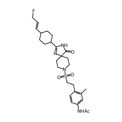 CC(=O)Nc1ccc(CCS(=O)(=O)N2CCC3(CC2)N=C(C2CCC(C=CCF)CC2)NC3=O)c(C)c1